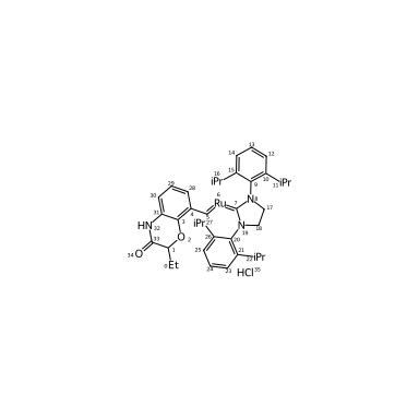 CCC1Oc2c([CH]=[Ru]=[C]3N(c4c(C(C)C)cccc4C(C)C)CCN3c3c(C(C)C)cccc3C(C)C)cccc2NC1=O.Cl